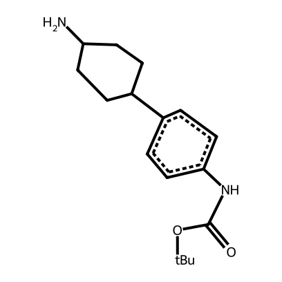 CC(C)(C)OC(=O)Nc1ccc(C2CCC(N)CC2)cc1